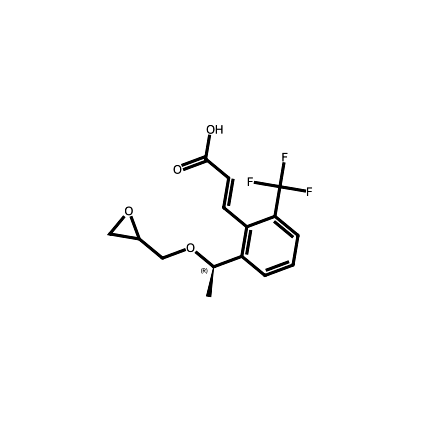 C[C@@H](OCC1CO1)c1cccc(C(F)(F)F)c1C=CC(=O)O